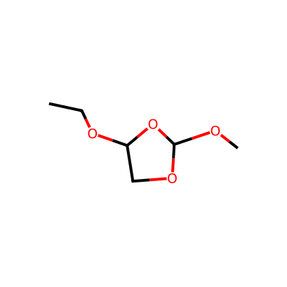 CCOC1COC(OC)O1